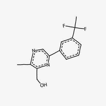 Cc1ncc(-c2cccc(C(C)(F)F)c2)nc1CO